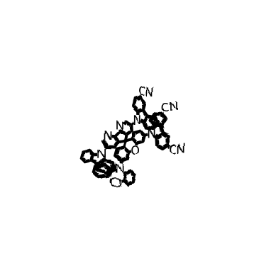 N#Cc1ccc2c(c1)c1ccccc1n2-c1cnc2c(c1)C1(c3ccc(N4c5ccccc5Oc5ccccc54)cc3Oc3cc(-n4c5ccc(C#N)cc5c5cc(C#N)ccc54)ccc31)c1cc(-n3c4ccccc4c4ccccc43)cnc1-2